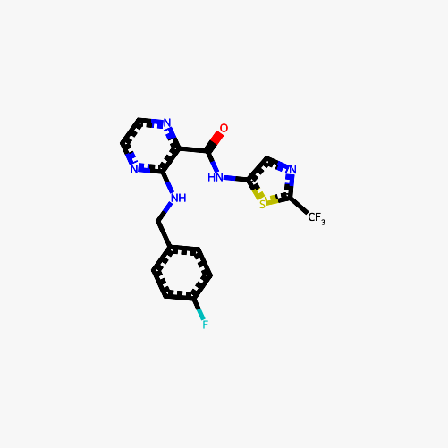 O=C(Nc1cnc(C(F)(F)F)s1)c1nccnc1NCc1ccc(F)cc1